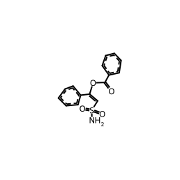 NS(=O)(=O)C=C(OC(=O)c1ccccc1)c1ccccc1